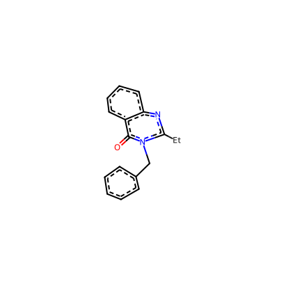 CCc1nc2ccccc2c(=O)n1Cc1ccccc1